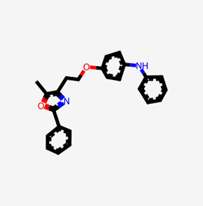 Cc1oc(-c2ccccc2)nc1CCOc1ccc(Nc2ccccc2)cc1